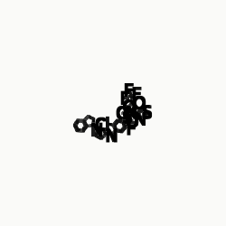 CN(c1cc(F)c(S(=O)(=O)N(OC(=O)C(F)(F)F)c2cscn2)cc1Cl)[C@H]1CCN([C@H]2CCc3ccccc32)C1